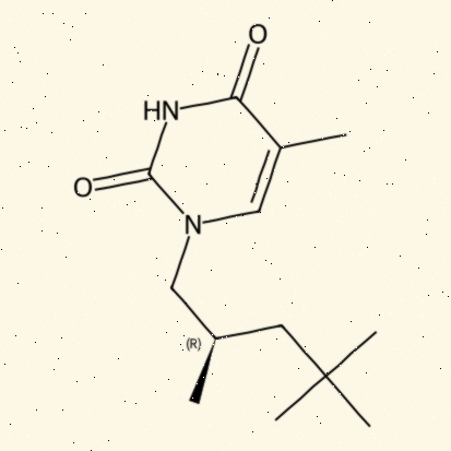 Cc1cn(C[C@H](C)CC(C)(C)C)c(=O)[nH]c1=O